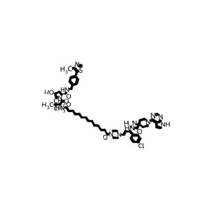 Cc1ncsc1-c1ccc(CNC(=O)[C@@H]2C[C@@H](O)CN2C(=O)C(NC(=O)CCCCCCCCCCCCC(=O)N2CCN(CCC(NC(=O)C3(N)CCN(c4ncnc5[nH]ccc45)CC3)c3ccc(Cl)cc3)CC2)C(C)(C)C)cc1